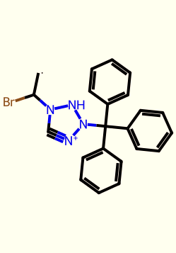 [CH2]C(Br)N1C#[N+]N(C(c2ccccc2)(c2ccccc2)c2ccccc2)N1